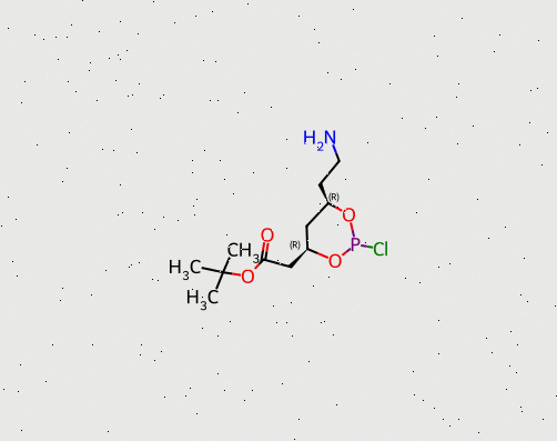 CC(C)(C)OC(=O)C[C@H]1C[C@@H](CCN)OP(Cl)O1